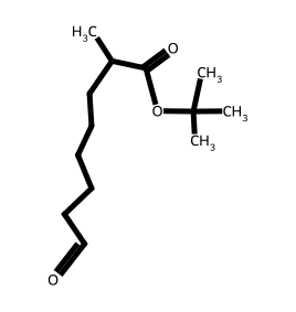 CC(CCCCCC=O)C(=O)OC(C)(C)C